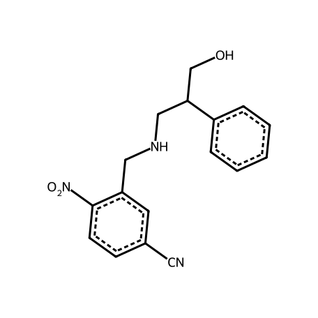 N#Cc1ccc([N+](=O)[O-])c(CNCC(CO)c2ccccc2)c1